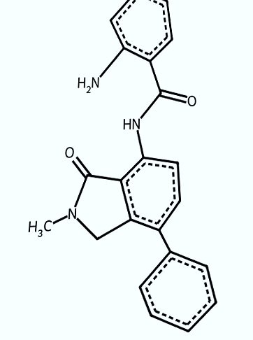 CN1Cc2c(-c3ccccc3)ccc(NC(=O)c3ccccc3N)c2C1=O